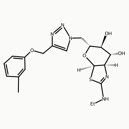 CCNC1=N[C@@H]2[C@@H](O)[C@H](O)[C@@H](Cn3cc(COc4cccc(C)c4)nn3)O[C@@H]2S1